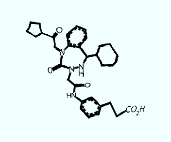 O=C(O)CCc1cccc(NC(=O)CN2NC(C3CCCCC3)c3ccccc3N(CC(=O)C3CCCC3)C2=O)c1